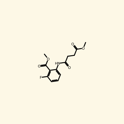 COC(=O)CCC(=O)Nc1cccc(F)c1C(=O)OC